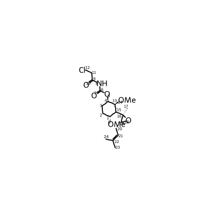 CO[C@@H]1CC[C@@H](OC(=O)NC(=O)CCl)[C@@H](OC)C1[C@@]1(C)O[C@@H]1CC=C(C)C